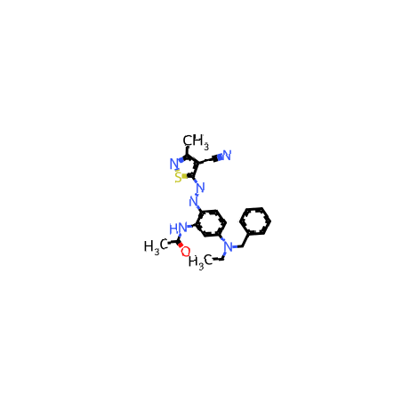 CCN(Cc1ccccc1)c1ccc(N=Nc2snc(C)c2C#N)c(NC(C)=O)c1